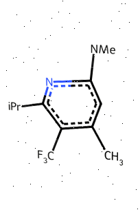 CNc1cc(C)c(C(F)(F)F)c(C(C)C)n1